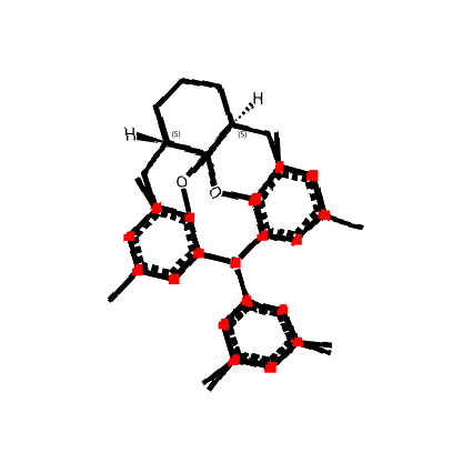 Cc1cc(C)cc(P(c2cc(C)cc(C)c2)c2cccc3c2OC24Oc5c(cccc5P(c5cc(C)cc(C)c5)c5cc(C)cc(C)c5)C[C@@H]2CCC[C@H]4C3)c1